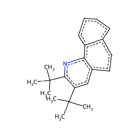 CC(C)(C)c1cc2ccc3ccccc3c2nc1C(C)(C)C